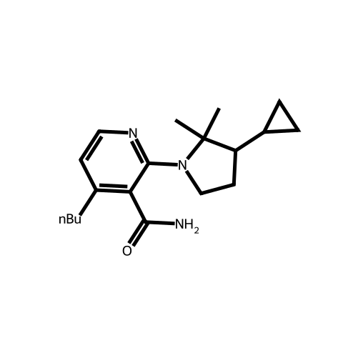 CCCCc1ccnc(N2CCC(C3CC3)C2(C)C)c1C(N)=O